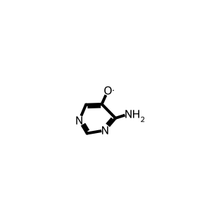 Nc1ncncc1[O]